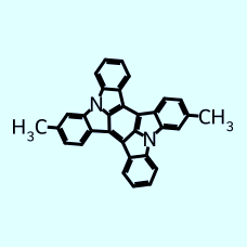 Cc1ccc2c3c4c5ccccc5n5c6cc(C)ccc6c(c6c7ccccc7n(c2c1)c63)c45